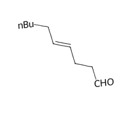 CCCCCC=CCCC=O